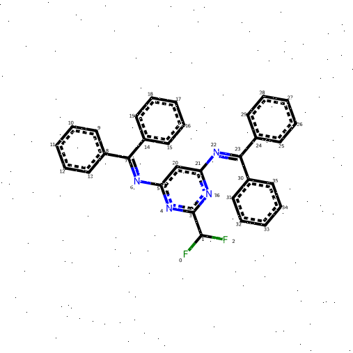 FC(F)c1nc(N=C(c2ccccc2)c2ccccc2)cc(N=C(c2ccccc2)c2ccccc2)n1